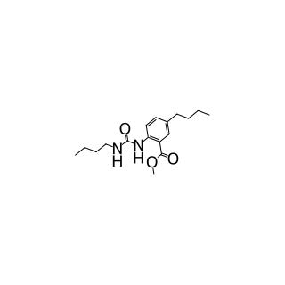 CCCCNC(=O)Nc1ccc(CCCC)cc1C(=O)OC